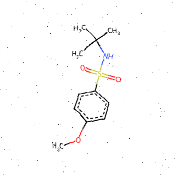 COc1ccc(S(=O)(=O)NC(C)(C)C)cc1